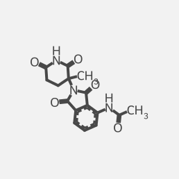 CC(=O)Nc1cccc2c1C(=O)N(C1(C)CCC(=O)NC1=O)C2=O